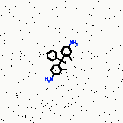 Cc1cc(N)ccc1C(C)(c1ccccc1)c1ccc(N)cc1C